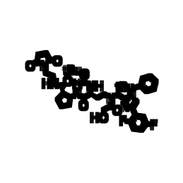 CC(C)(C)OC(=O)N[C@@H](CCN(C(=O)CO)[C@@H](c1nc(-c2cc(F)ccc2F)cn1Cc1ccccc1)C(C)(C)C)C(=O)N[C@H]1CCC[C@H]1C(=O)NCCN1C(=O)C=CC1=O